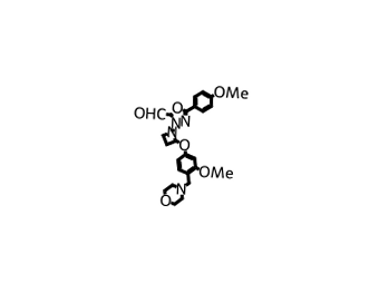 COc1ccc(C2=NN(N3CCC3Oc3ccc(CN4CCOCC4)c(OC)c3)C(C=O)O2)cc1